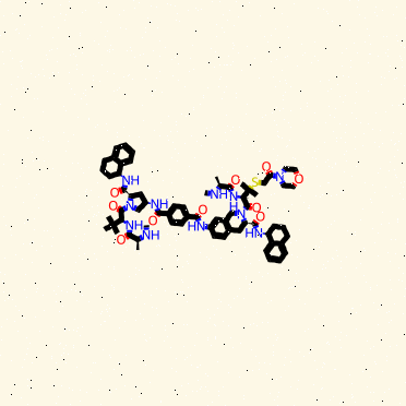 CN[C@@H](C)C(=O)N[C@H](C(=O)N1C[C@@H](NC(=O)c2ccc(C(=O)Nc3ccc4c(c3)CN(C(=O)[C@@H](NC(=O)[C@H](C)NC)C(C)(C)SCC(=O)N3CCOCC3)[C@H](C(=O)N[C@@H]3CCCc5ccccc53)C4)cc2)C[C@H]1C(=O)N[C@@H]1CCCc2ccccc21)C(C)(C)C